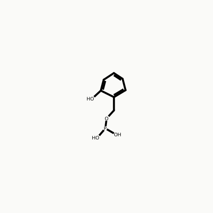 Oc1ccccc1COP(O)O